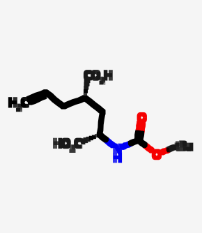 C=CC[C@@H](C[C@H](NC(=O)OC(C)(C)C)C(=O)O)C(=O)O